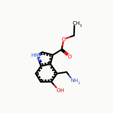 CCOC(=O)c1c[nH]c2ccc(O)c(CN)c12